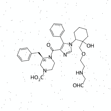 O=CCNCCOCC1(O)CCCCC1n1cnc(C(=O)N2CCN(C(=O)O)C[C@H]2Cc2ccccc2)c1-c1ccccc1